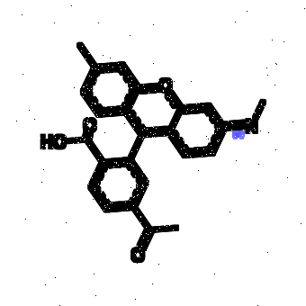 C/N=c1/ccc2c(-c3cc(C(C)=O)ccc3C(=O)O)c3ccc(C)cc3oc-2c1